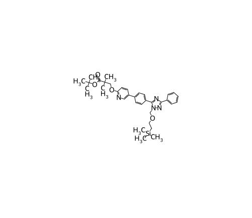 CC(C)(C)OC(=O)C(C)(C)COc1ccc(-c2ccc(-c3nc(-c4ccccc4)nn3COCC[Si](C)(C)C)cc2)cn1